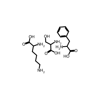 NC(CO)C(=O)O.NC(Cc1ccccc1)C(=O)O.NCCCCC(N)C(=O)O